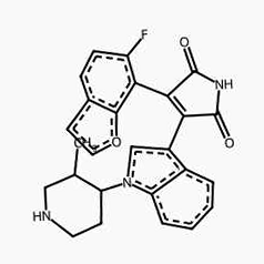 CC1CNCCC1n1cc(C2=C(c3c(F)ccc4ccoc34)C(=O)NC2=O)c2ccccc21